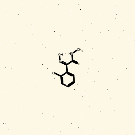 CNC(=O)/C(=N\O)c1ccccc1Cl